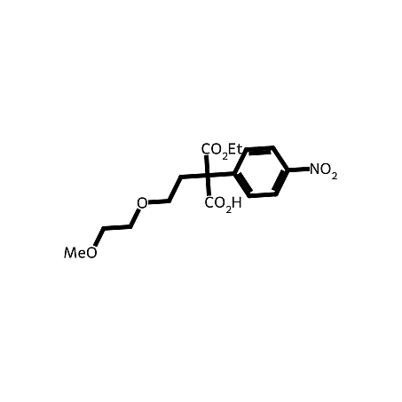 CCOC(=O)C(CCOCCOC)(C(=O)O)c1ccc([N+](=O)[O-])cc1